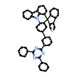 c1ccc(-c2nc(-c3ccccc3)nc(-c3cccc(-c4ccc5c(c4)C4(c6ccccc6-c6ccccc64)c4cccc6c7ccccc7n-5c46)c3)n2)cc1